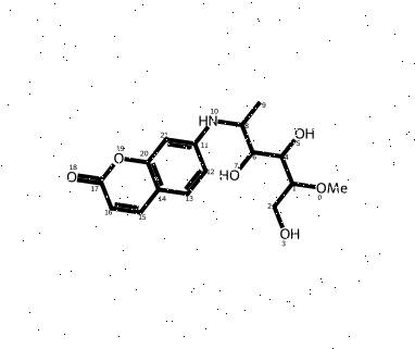 COC(CO)C(O)C(O)C(C)Nc1ccc2ccc(=O)oc2c1